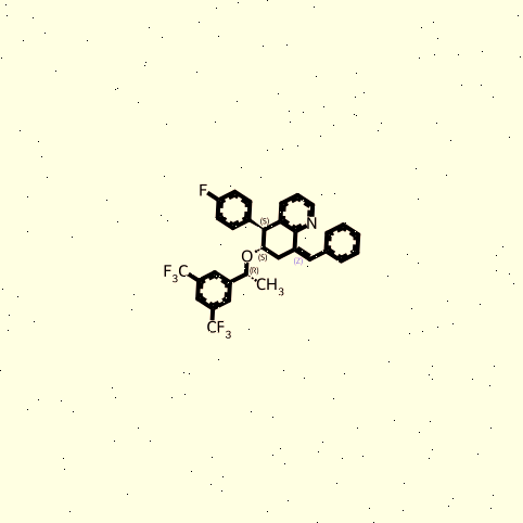 C[C@@H](O[C@H]1C/C(=C/c2ccccc2)c2ncccc2[C@@H]1c1ccc(F)cc1)c1cc(C(F)(F)F)cc(C(F)(F)F)c1